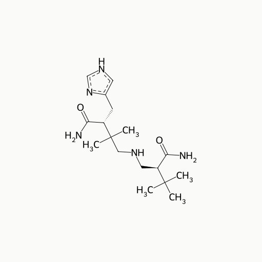 CC(C)(C)[C@@H](CNCC(C)(C)[C@@H](Cc1c[nH]cn1)C(N)=O)C(N)=O